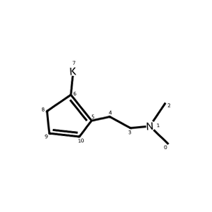 CN(C)CCC1=[C]([K])CC=C1